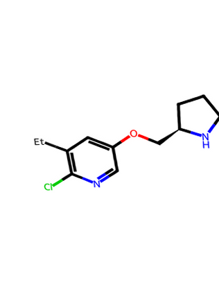 CCc1cc(OC[C@H]2CCCN2)cnc1Cl